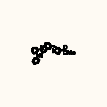 COC(=O)c1ccnc(Cc2ccc3ncc(N=C(c4ccccc4)c4ccccc4)cc3c2)c1